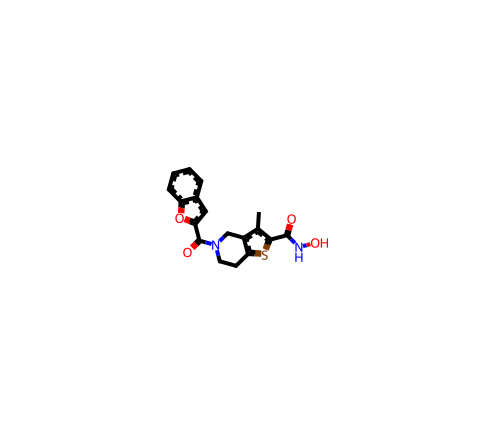 Cc1c(C(=O)NO)sc2c1CN(C(=O)c1cc3ccccc3o1)CC2